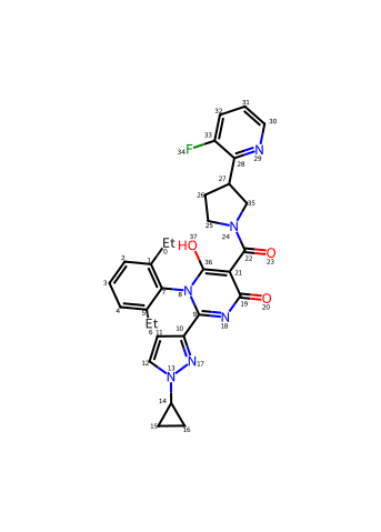 CCc1cccc(CC)c1-n1c(-c2ccn(C3CC3)n2)nc(=O)c(C(=O)N2CCC(c3ncccc3F)C2)c1O